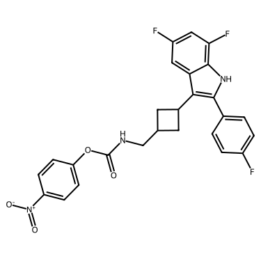 O=C(NCC1CC(c2c(-c3ccc(F)cc3)[nH]c3c(F)cc(F)cc23)C1)Oc1ccc([N+](=O)[O-])cc1